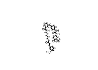 Cc1cc(C=CC(=O)CCCCCCNC(=O)c2cc(Oc3ccc(NC(=O)Nc4ccc(Cl)c(C(F)(F)F)c4)cc3)ccn2)ccn1